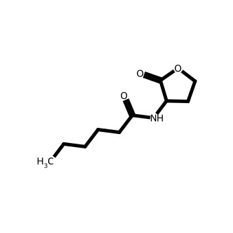 CCCCCC(=O)NC1CCOC1=O